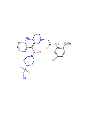 COc1ccc(Cl)cc1NC(=O)CN1CCc2nc3ccccc3c(C(=O)N3CCN(C(C)(C)CN)CC3)c2C1